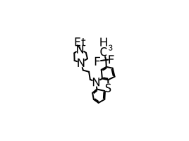 CCN1CCN(CCCN2c3ccccc3Sc3ccc(C(C)(F)F)cc32)CC1